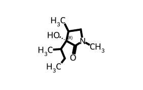 CCC(C)[C@]1(O)C(=O)N(C)CC1C